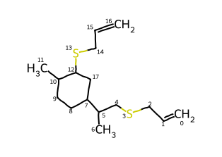 C=CCSCC(C)C1CCC(C)C(SCC=C)C1